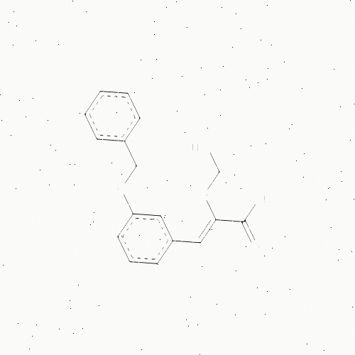 CCO/C(=C\c1cccc(OCc2ccccc2)c1)C(=O)O